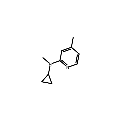 Cc1ccnc(N(C)C2CC2)c1